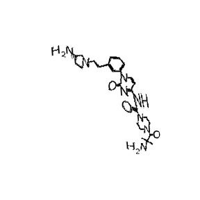 CC(C)(N)C(=O)N1CCN(C(=O)Nc2ccn(-c3cccc(CCN4CC[C@@H](N)C4)c3)c(=O)n2)CC1